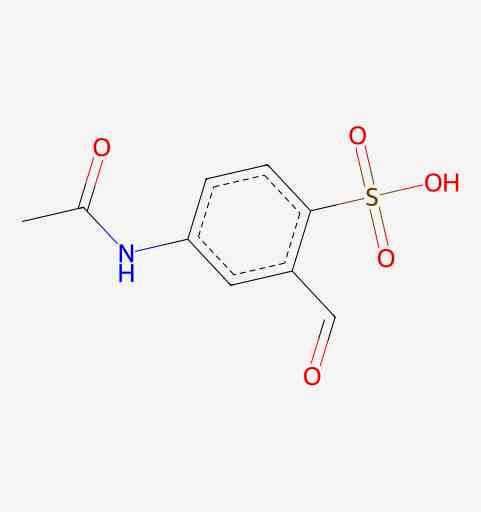 CC(=O)Nc1ccc(S(=O)(=O)O)c(C=O)c1